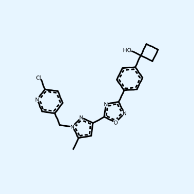 Cc1cc(-c2nc(-c3ccc(C4(O)CCC4)cc3)no2)nn1Cc1ccc(Cl)nc1